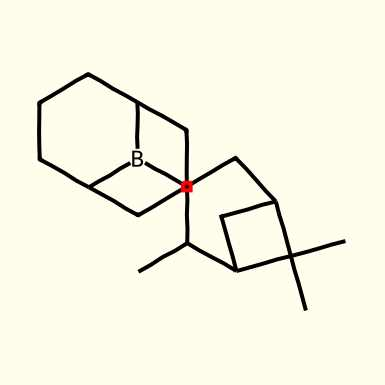 CC1C(B2C3CCCC2CCC3)CC2CC1C2(C)C